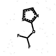 FC(F)Oc1n[c]cs1